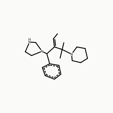 CC=C(C(c1ccccc1)N1CCNC1)C(C)(C)N1CCCCC1